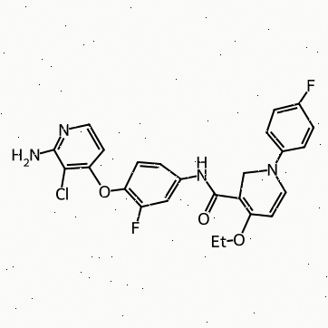 CCOC1=C(C(=O)Nc2ccc(Oc3ccnc(N)c3Cl)c(F)c2)CN(c2ccc(F)cc2)C=C1